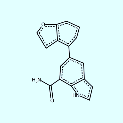 NC(=O)c1cc(-c2cccc3occc23)cc2cc[nH]c12